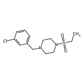 CCS(=O)(=O)N1CCN(Cc2cccc(Cl)c2)CC1